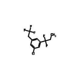 CCC(F)(F)c1cc(Cl)cc(CC(F)(F)F)c1